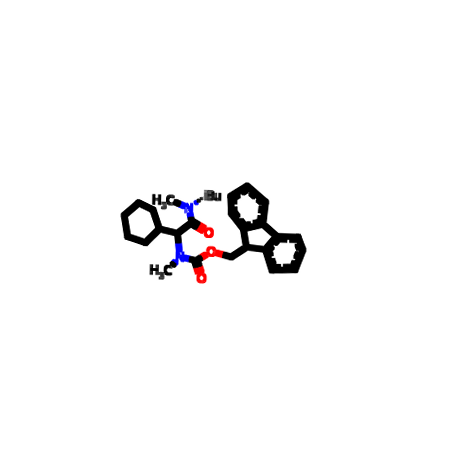 CC[C@@H](C)N(C)C(=O)C(C1CCCCC1)N(C)C(=O)OCC1c2ccccc2-c2ccccc21